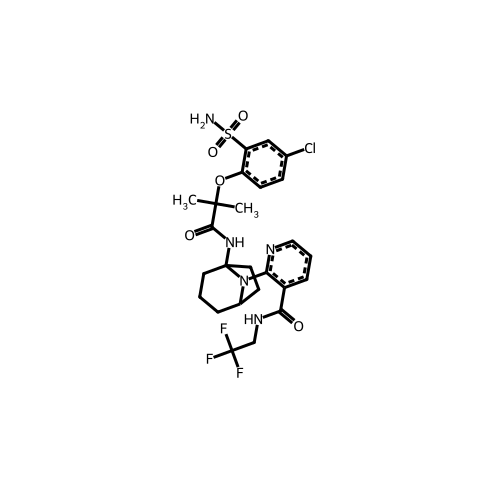 CC(C)(Oc1ccc(Cl)cc1S(N)(=O)=O)C(=O)NC12CCCC(CC1)N2c1ncccc1C(=O)NCC(F)(F)F